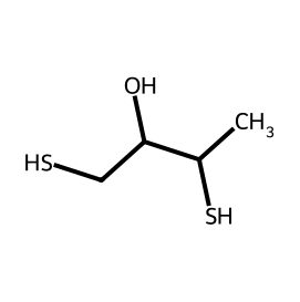 CC(S)C(O)CS